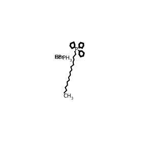 Br.CCCCCCCCCCCCCCCCCC[P+](c1ccccc1)(c1ccccc1)c1ccccc1.P.[Br-]